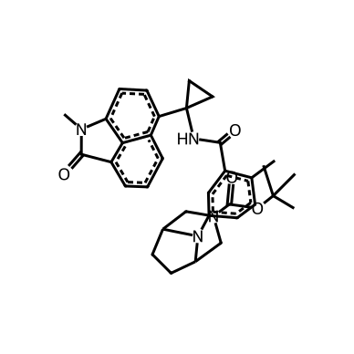 Cc1ccc(N2C3CCC2CN(C(=O)OC(C)(C)C)C3)cc1C(=O)NC1(c2ccc3c4c(cccc24)C(=O)N3C)CC1